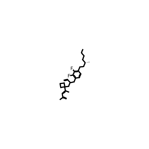 C=CC(Cc1ccc(CC[C@@H](C)CCCC)c(F)c1F)CC1(/C(C)=C/C(=C)C)CCC1